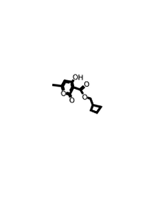 Cc1cc(O)c(C(=O)OCC2CCC2)c(=O)o1